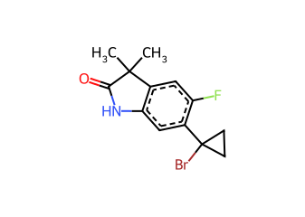 CC1(C)C(=O)Nc2cc(C3(Br)CC3)c(F)cc21